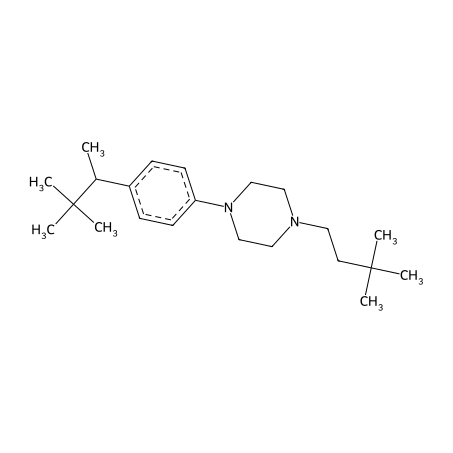 CC(c1ccc(N2CCN(CCC(C)(C)C)CC2)cc1)C(C)(C)C